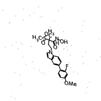 COc1ccc(-c2ccc3c(ccn3CCC(C)(C(=O)NO)S(C)(=O)=O)c2)c(F)c1